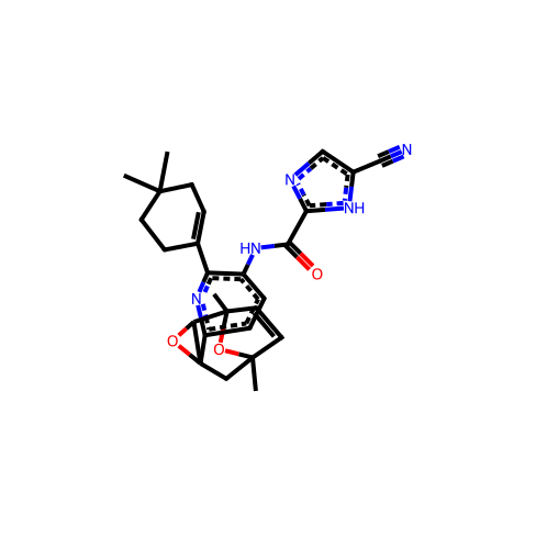 CC1(C)CC=C(c2nc(C34CC5(C)C=CC(C)(O5)C3O4)ccc2NC(=O)c2ncc(C#N)[nH]2)CC1